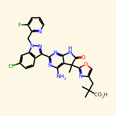 CC(C)(Cc1coc(C2(C)C(=O)Nc3nc(-c4nn(Cc5ncccc5F)c5cc(Cl)ccc45)nc(N)c32)n1)C(=O)O